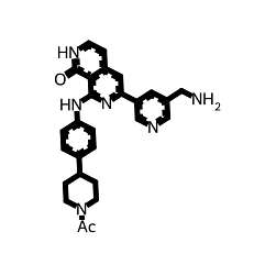 CC(=O)N1CCC(c2ccc(Nc3nc(-c4cncc(CN)c4)cc4cc[nH]c(=O)c34)cc2)CC1